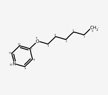 [CH2]CCCCCOc1ccncc1